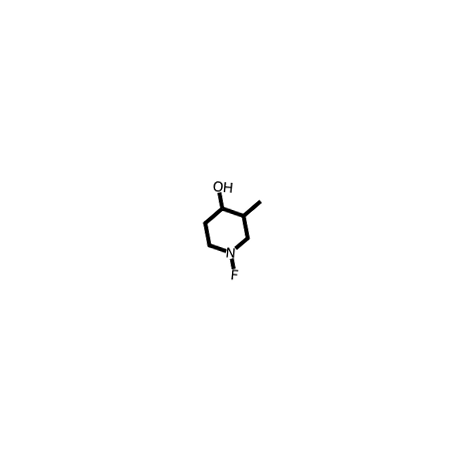 CC1CN(F)CCC1O